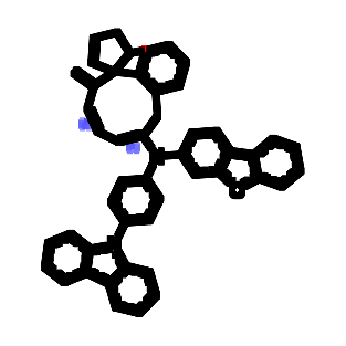 C=C1/C=C\C=C(\N(c2ccc(-n3c4ccccc4c4ccccc43)cc2)c2ccc3c(c2)oc2ccccc23)Cc2ccccc2C12C=CCC2C